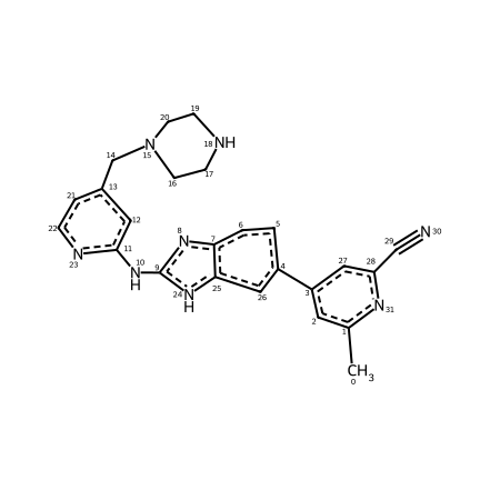 Cc1cc(-c2ccc3nc(Nc4cc(CN5CCNCC5)ccn4)[nH]c3c2)cc(C#N)n1